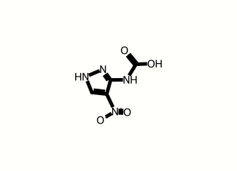 O=C(O)Nc1n[nH]cc1[N+](=O)[O-]